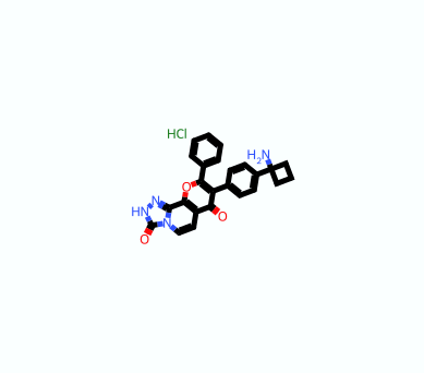 Cl.NC1(c2ccc(-c3c(-c4ccccc4)oc4c(ccn5c(=O)[nH]nc45)c3=O)cc2)CCC1